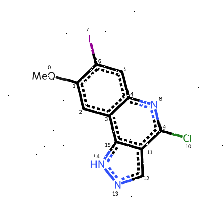 COc1cc2c(cc1I)nc(Cl)c1cn[nH]c12